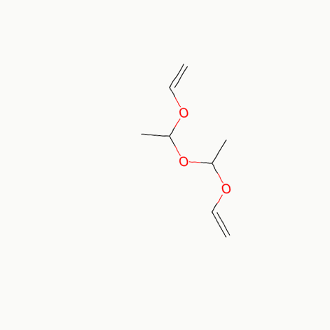 C=COC(C)OC(C)OC=C